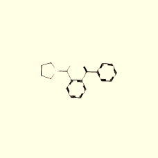 CCC(c1ccc[c]c1C(=O)c1ccccc1)N1CCCC1